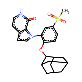 CS(=O)(=O)c1ccc(OC2C3CC4CC(C3)CC2C4)c(-n2ccc3cc[nH]c(=O)c32)c1